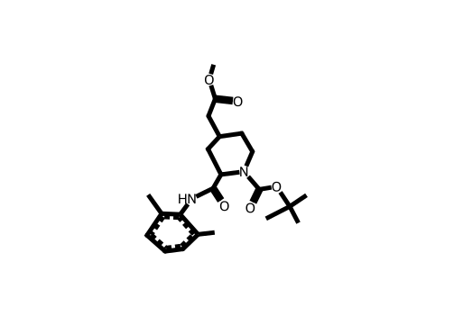 COC(=O)CC1CCN(C(=O)OC(C)(C)C)C(C(=O)Nc2c(C)cccc2C)C1